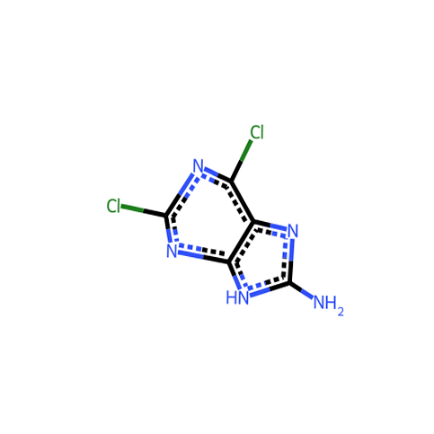 Nc1nc2c(Cl)nc(Cl)nc2[nH]1